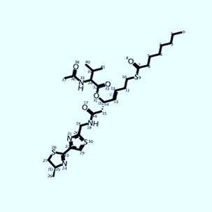 CCCCCCCC(=O)SCC/C=C/[C@H](CC(=O)NCc1nc(C2=N[C@@H](C)CS2)cs1)OC(=O)C(NC(C)=O)C(C)C